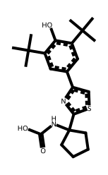 CC(C)(C)c1cc(-c2csc(C3(NC(=O)O)CCCC3)n2)cc(C(C)(C)C)c1O